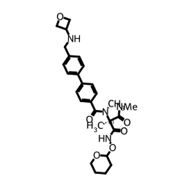 CNC(=O)[C@@](C)(C(=O)NOC1CCCCO1)N(C)C(=O)c1ccc(-c2ccc(CNC3COC3)cc2)cc1